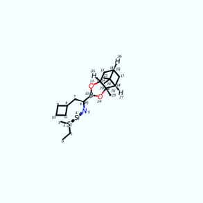 CC[Si](C)=[Si]=N[C@@H](CC1CCC1)B1O[C@@H]2C[C@@H]3C[C@@H](C3(C)C)[C@]2(C)O1